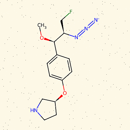 CO[C@H](c1ccc(O[C@H]2CCNC2)cc1)[C@@H](CF)N=[N+]=[N-]